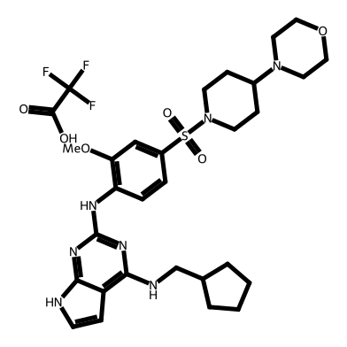 COc1cc(S(=O)(=O)N2CCC(N3CCOCC3)CC2)ccc1Nc1nc(NCC2CCCC2)c2cc[nH]c2n1.O=C(O)C(F)(F)F